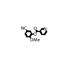 COc1ccc(C#N)cc1OC(=O)c1cccnc1